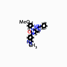 COc1ccc(N2C(=O)N(c3ccc4nn(C)cc4c3)Cc3cnc(NC4CCCCC4)nc32)cc1